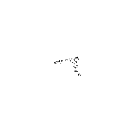 Cl.Cl.O.O.O.O.O.O.[Fe]